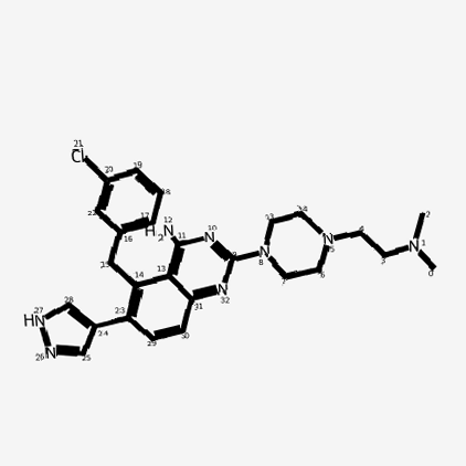 CN(C)CCN1CCN(c2nc(N)c3c(Cc4cccc(Cl)c4)c(-c4cn[nH]c4)ccc3n2)CC1